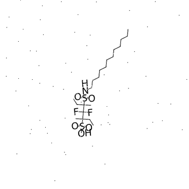 CCCCCCCCCCCCNS(=O)(=O)C(C)(CC)C(F)(F)C(C)(CC)S(=O)(=O)O